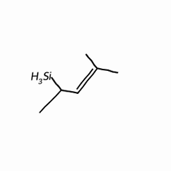 CC(C)=CC(C)[SiH3]